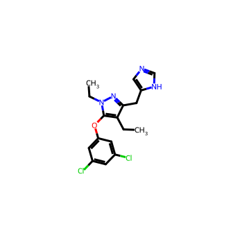 CCc1c(Cc2cnc[nH]2)nn(CC)c1Oc1cc(Cl)cc(Cl)c1